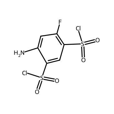 Nc1cc(F)c(S(=O)(=O)Cl)cc1S(=O)(=O)Cl